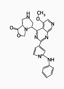 COc1cncc2nc(-c3ccnc(Nc4ccccc4)c3)nc(C3CNCC4C(=O)OCN43)c12